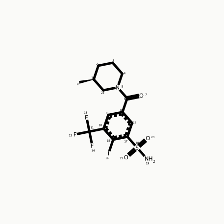 C[C@H]1CCCN(C(=O)c2cc(C(F)(F)F)c(I)c(S(N)(=O)=O)c2)C1